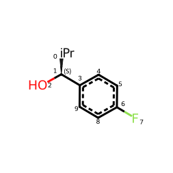 CC(C)[C@H](O)c1ccc(F)cc1